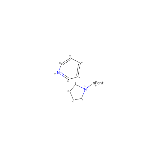 CCCCCN1CCCC1.c1ccncc1